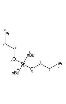 CCC[CH2][Sn]([CH2]CCC)([O]CCC(C)C)[O]CCC(C)C